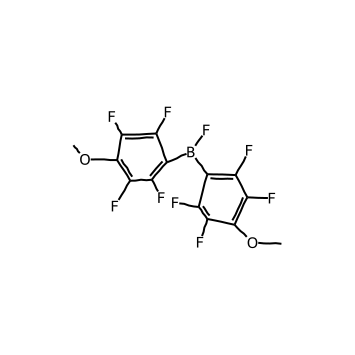 COc1c(F)c(F)c(B(F)c2c(F)c(F)c(OC)c(F)c2F)c(F)c1F